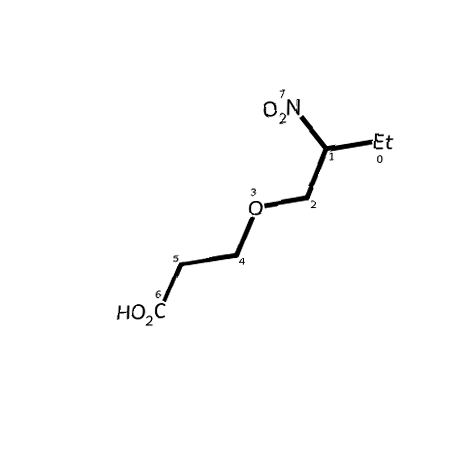 CCC(COCCC(=O)O)[N+](=O)[O-]